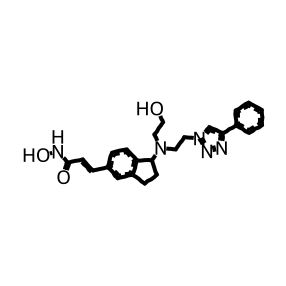 O=C(C=Cc1ccc2c(c1)CCC2N(CCO)CCn1cc(-c2ccccc2)nn1)NO